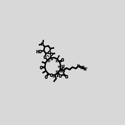 CC[C@H]1OC(=O)C(C)C(=O)C(C)[C@@H](OC2OC(C)CC(N(C)C)C2O)[C@@](C)(OC)C[C@@H](C)C(=O)[C@H](C)[C@H]2N(CCCCN=[N+]=[N-])C(=O)O[C@]12C